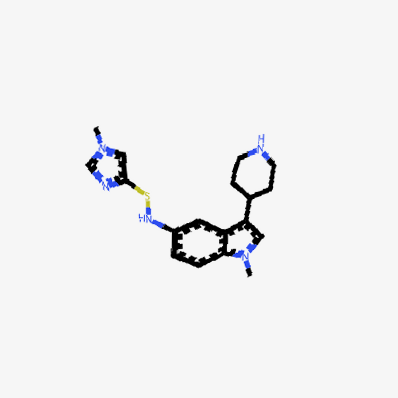 Cn1cnc(SNc2ccc3c(c2)c(C2CCNCC2)cn3C)c1